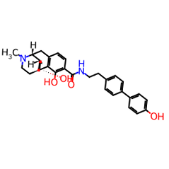 CN1CC[C@]23C[C@@H](O)C=C[C@H]2[C@H]1Cc1ccc(C(=O)NCCc2ccc(-c4ccc(O)cc4)cc2)c(O)c13